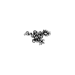 COCCN1Cc2c(n(CC(=O)Nc3ccc(F)cn3)c3cc(C(C)(C)C)nn3c2=O)C1=O